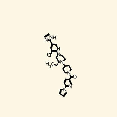 CC[C@H]1CN(c2ncc(-c3ncc[nH]3)cc2Cl)CCN1C1CCN(C(=O)c2ccc(-n3cccc3)nc2)CC1